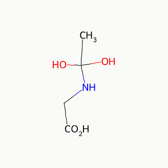 CC(O)(O)NCC(=O)O